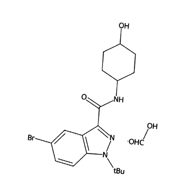 CC(C)(C)n1nc(C(=O)NC2CCC(O)CC2)c2cc(Br)ccc21.O=[C]O